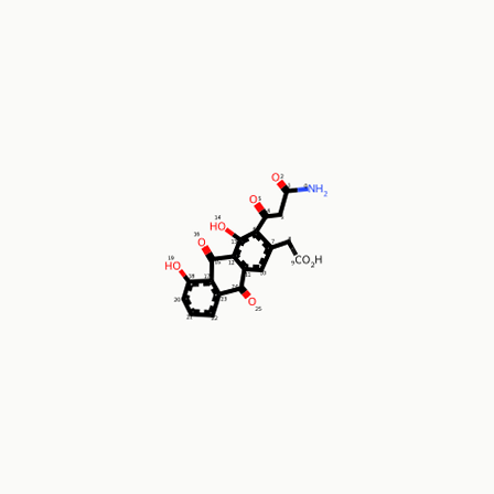 NC(=O)CC(=O)c1c(CC(=O)O)cc2c(c1O)C(=O)c1c(O)cccc1C2=O